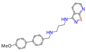 COc1ccc(-c2ccc(CNCCCNc3nsc4ncccc34)cc2)cc1